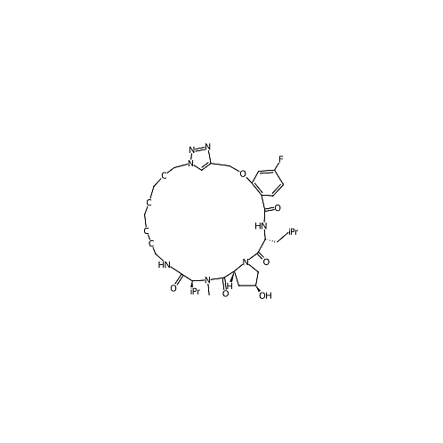 CC(C)C[C@H]1NC(=O)c2ccc(F)cc2OCc2cn(nn2)CCCCCCCCNC(=O)[C@H](C(C)C)N(C)C(=O)[C@H]2C[C@H](O)CN2C1=O